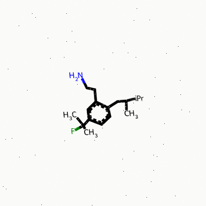 CC(C)C(C)Cc1ccc(C(C)(C)F)cc1CCN